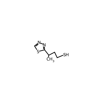 CC(CCS)c1nncs1